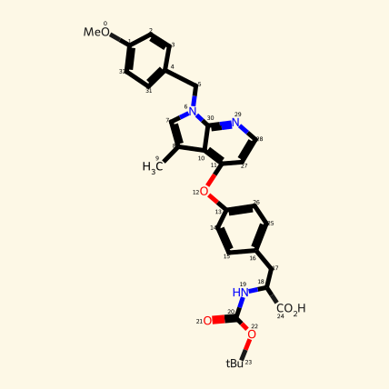 COc1ccc(Cn2cc(C)c3c(Oc4ccc(CC(NC(=O)OC(C)(C)C)C(=O)O)cc4)ccnc32)cc1